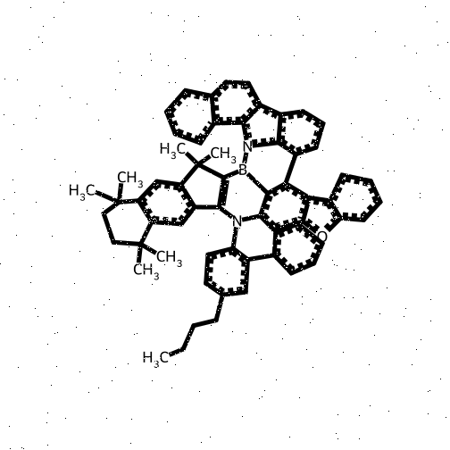 CCCCc1ccc(N2C3=C(B4c5c2cc2oc6ccccc6c2c5-c2cccc5c6ccc7ccccc7c6n4c25)C(C)(C)c2cc4c(cc23)C(C)(C)CCC4(C)C)c(-c2ccccc2)c1